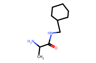 CC(N)C(=O)NCC1CCCCC1